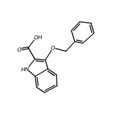 O=C(O)c1[nH]c2ccccc2c1OCc1ccccc1